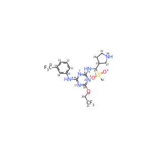 CS(=O)(=O)C(Nc1nc(Nc2cccc(C(F)(F)F)c2)nc(OCC(F)(F)F)n1)C1CCNC1